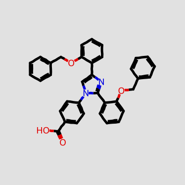 O=C(O)c1ccc(-n2cc(-c3ccccc3OCc3ccccc3)nc2-c2ccccc2OCc2ccccc2)cc1